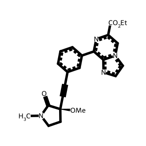 CCOC(=O)c1cn2ccnc2c(-c2cccc(C#C[C@]3(OC)CCN(C)C3=O)c2)n1